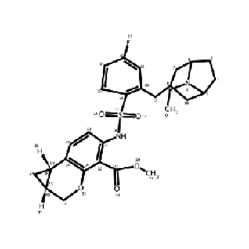 CCN1C2CCC1CC(Cc1cc(F)ccc1S(=O)(=O)Nc1ccc3c(c1C(=O)OC)OC[C@@H]1C[C@H]31)C2